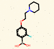 OB(O)c1ccc(OCCN2CCCCC2)cc1F